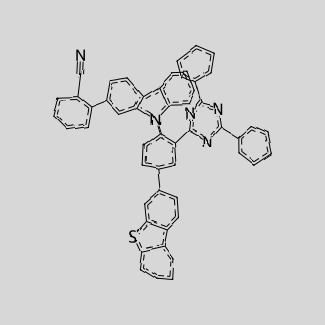 N#Cc1ccccc1-c1ccc2c3ccccc3n(-c3ccc(-c4ccc5c(c4)sc4ccccc45)cc3-c3nc(-c4ccccc4)nc(-c4ccccc4)n3)c2c1